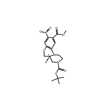 COC(=O)c1cc2c(cc1[N+](=O)[O-])OC[C@H]1CN(C(=O)OC(C)(C)C)CCN21